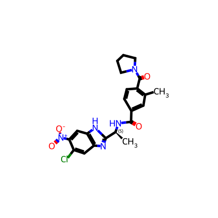 Cc1cc(C(=O)N[C@@H](C)c2nc3cc(Cl)c([N+](=O)[O-])cc3[nH]2)ccc1C(=O)N1CCCC1